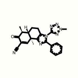 C[C@@H]1C(=O)C(C#N)=C[C@]2(C)c3nc(-c4ccccc4)n(-c4nnn(C)n4)c3CC[C@@H]12